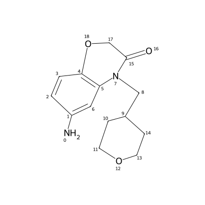 Nc1ccc2c(c1)N(CC1CCOCC1)C(=O)CO2